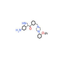 CC(C)Oc1ccccc1N1CCN(Cc2cccc(C(=O)C3CNc4cc(N)ccc43)c2)CC1